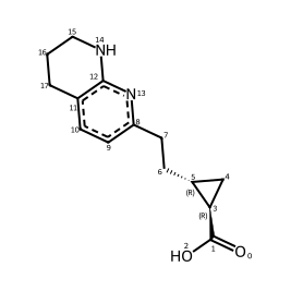 O=C(O)[C@@H]1C[C@H]1CCc1ccc2c(n1)NCCC2